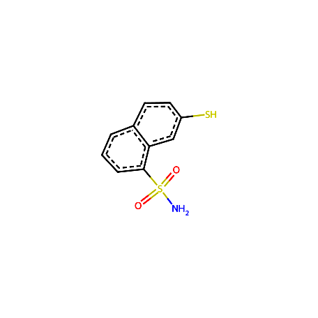 NS(=O)(=O)c1cccc2ccc(S)cc12